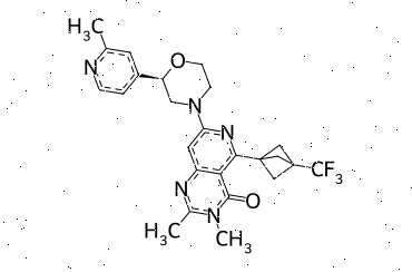 Cc1cc([C@@H]2CN(c3cc4nc(C)n(C)c(=O)c4c(C45CC(C(F)(F)F)(C4)C5)n3)CCO2)ccn1